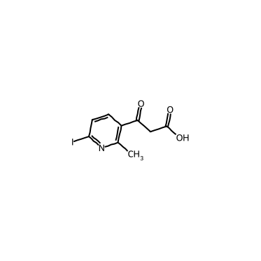 Cc1nc(I)ccc1C(=O)CC(=O)O